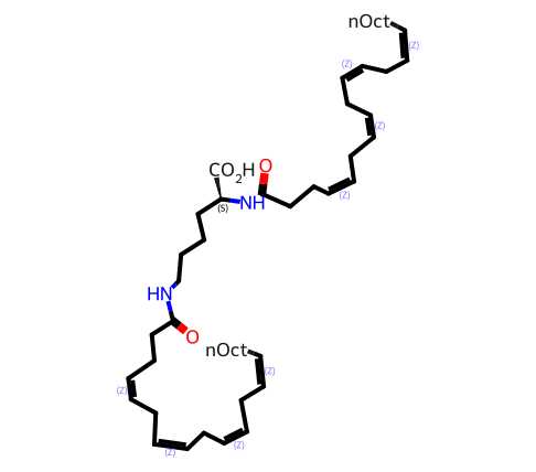 CCCCCCCC/C=C\C/C=C\C/C=C\C/C=C\CCC(=O)NCCCC[C@H](NC(=O)CC/C=C\C/C=C\C/C=C\C/C=C\CCCCCCCC)C(=O)O